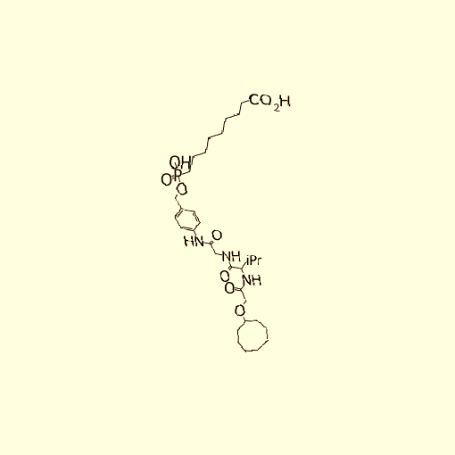 CC(C)C(NC(=O)COC1CCCCCCC1)C(=O)NCC(=O)Nc1ccc(COP(=O)(O)CCCCCCCCC(=O)O)cc1